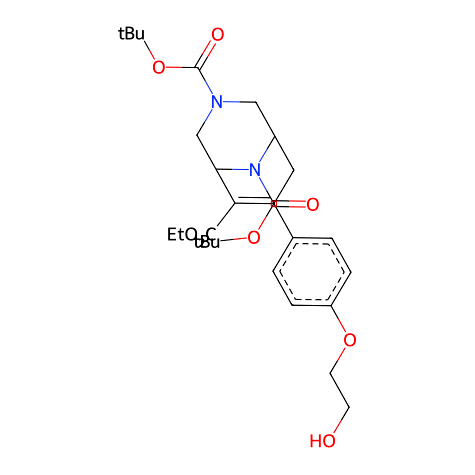 CCOC(=O)C1=C(c2ccc(OCCO)cc2)CC2CN(C(=O)OC(C)(C)C)CC1N2C(=O)OC(C)(C)C